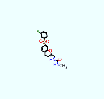 CNC(=O)NC[C@H]1CCc2ccc(S(=O)(=O)c3cccc(F)c3)cc2O1